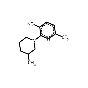 CC1CCCN(c2nc(C(F)(F)F)ccc2C#N)C1